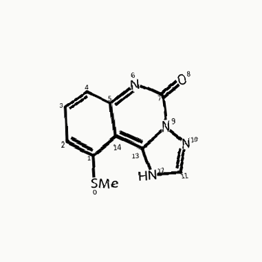 CSc1cccc2nc(=O)n3nc[nH]c3c12